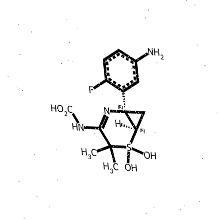 CC1(C)C(NC(=O)O)=N[C@@]2(c3cc(N)ccc3F)C[C@H]2S1(O)O